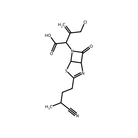 C=C(CCl)C(C(=O)O)N1C(=O)C2N=C(CCC(C)C#N)SC21